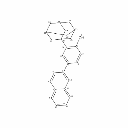 Oc1ccc(-c2ccc3ccccc3c2)cc1C12CC3CC(CC(C3)C1)C2